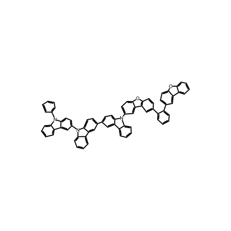 c1ccc(-n2c3ccccc3c3cc(-n4c5ccccc5c5cc(-c6ccc7c(c6)c6ccccc6n7-c6ccc7oc8ccc(-c9ccccc9-c9ccc%10oc%11ccccc%11c%10c9)cc8c7c6)ccc54)ccc32)cc1